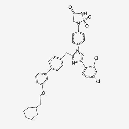 O=C1CN(c2ccc(-n3cc(-c4ccc(Cl)cc4Cl)nc3Cc3ccc(-c4cccc(OCCC5CCCCC5)c4)cc3)cc2)S(=O)(=O)N1